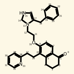 O=C1CCCc2c1ccc(OCCN1CNC=C1Cc1ccccc1)c2CCc1ccccn1